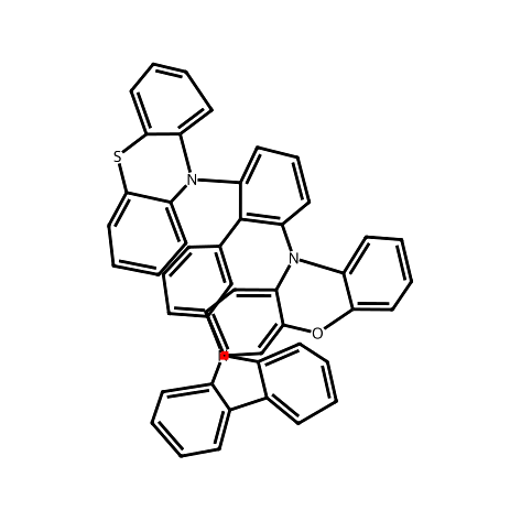 c1cc(-c2c(N3c4ccccc4Oc4ccccc43)cccc2N2c3ccccc3Sc3ccccc32)cc(-n2c3ccccc3c3ccccc32)c1